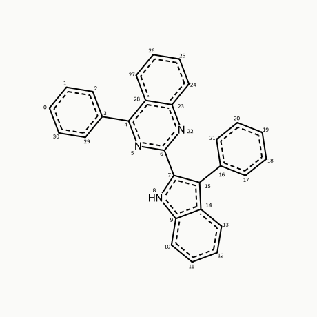 c1ccc(-c2nc(-c3[nH]c4ccccc4c3-c3ccccc3)nc3ccccc23)cc1